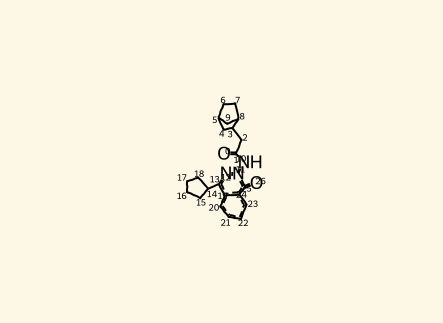 O=C(CC1CC2CCC1C2)Nn1nc(C2CCCC2)c2ccccc2c1=O